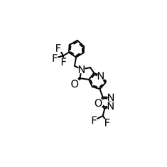 O=C1c2cc(-c3nnc(C(F)F)o3)cnc2CN1Cc1ccccc1C(F)(F)F